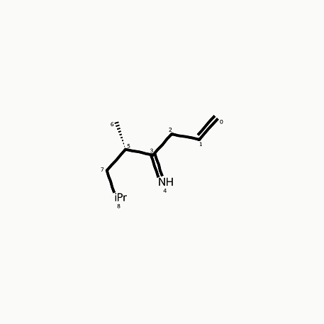 C=CCC(=N)[C@@H](C)CC(C)C